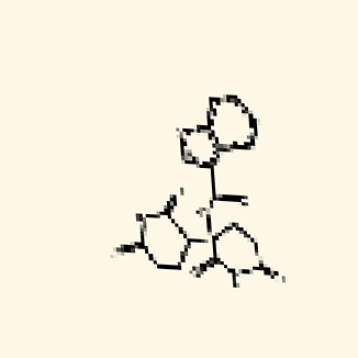 O=C1CCC(C2(NC(=O)c3csc4ccccc34)CCC(=O)NC2=O)C(=O)N1